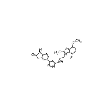 COc1ccc(F)c2c1cc(C)n2CCNc1cc(-c2ccc3c(c2)CC(=O)N3)ncn1